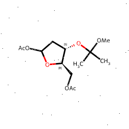 COC(C)(C)O[C@H]1CC(OC(C)=O)O[C@@H]1COC(C)=O